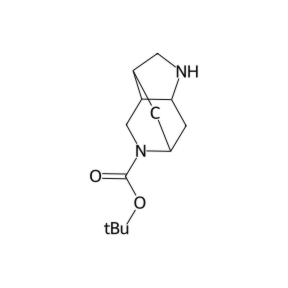 CC(C)(C)OC(=O)N1CC2C3CNC2CC1C3